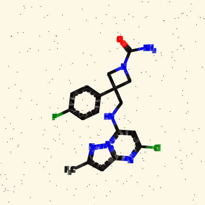 NC(=O)N1CC(CNc2cc(Cl)nc3cc(C(F)(F)F)nn23)(c2ccc(F)cc2)C1